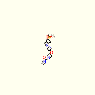 CS(=O)(=O)c1ccc2c(ccn2-c2ccc(OC3CCN(CC(=O)N4CCCC4)CC3)cn2)c1